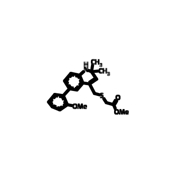 COC(=O)CSCC1=CC(C)(C)Nc2ccc(-c3ccccc3OC)cc21